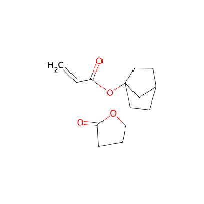 C=CC(=O)OC12CCC(CC1)C2.O=C1CCCO1